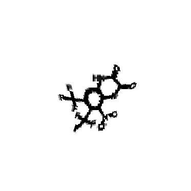 O=C1[N]c2c(cc(C(F)(F)F)c(C(F)(F)F)c2[N+](=O)[O-])NC1=O